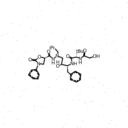 CC(C)CN(C[C@H](O)[C@H](Cc1ccccc1)NC(=O)[C@@H](NC(=O)CO)C(C)(C)C)NC(=O)[C@H]1CN(c2ccccc2)C(=O)O1